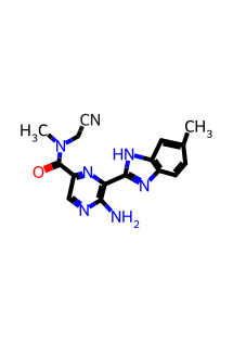 Cc1ccc2nc(-c3nc(C(=O)N(C)CC#N)cnc3N)[nH]c2c1